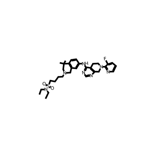 CCN(CC)S(=O)(=O)CCCCN1Cc2cc(Nc3ncnc4c3CCN(c3ncccc3F)C4)ccc2C(C)(C)C1